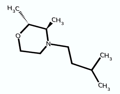 CC(C)CCN1CCO[C@H](C)[C@H]1C